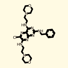 Clc1nc2c(NCCN3CCOCC3)nc(NCc3ccccc3)nc2nc1NCCN1CCOCC1